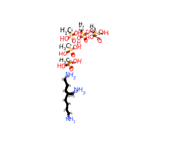 CP(=O)(O)O.CP(=O)(O)O.CP(=O)(O)O.CP(=O)(O)O.CP(=O)(O)O.NCCCCC(CN)CCCN